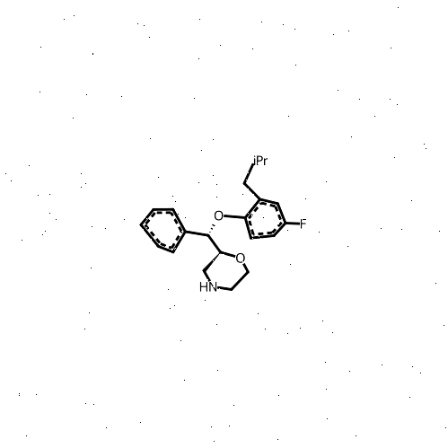 CC(C)Cc1cc(F)ccc1O[C@@H](c1ccccc1)[C@@H]1CNCCO1